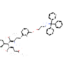 CCc1c(CCC2=C(C(=O)OC)C(c3c(Cl)cccc3Cl)C(C(=O)OC)=C(CC(=O)OC)N2)cccc1COCCCNC(c1ccccc1)(c1ccccc1)c1ccccc1